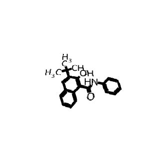 CC(C)(C)c1cc2ccccc2c(C(=O)Nc2ccccc2)c1O